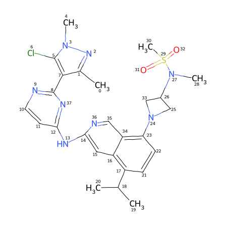 Cc1nn(C)c(Cl)c1-c1nccc(Nc2cc3c(C(C)C)ccc(N4CC(N(C)S(C)(=O)=O)C4)c3cn2)n1